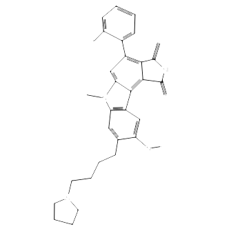 Cn1c2cc(CCCCN3CCCC3)c(NC=O)cc2c2c3c(c(-c4ccccc4Cl)cc21)C(=O)NC3=O